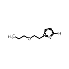 [2H]c1ccn(CCOCCC)n1